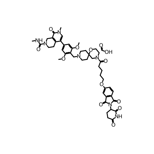 CNC(=O)N1CCc2c(-c3cc(OC)c(CN4CCC5(CC4)CN(C(=O)CCCCOc4ccc6c(c4)C(=O)N(C4CCC(=O)NC4=O)C6=O)CCO5)c(OC)c3)cn(C)c(=O)c2C1.O=CO